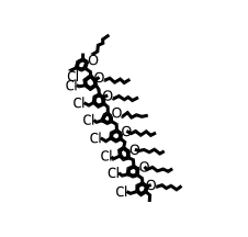 CCCCCCOc1c(C)cc(CCl)cc1Cc1cc(CCl)cc(Cc2cc(CCl)cc(Cc3cc(CCl)cc(Cc4cc(CCl)cc(Cc5cc(CCl)cc(Cc6cc(CCl)cc(Cc7cc(CCl)cc(CC)c7OCCCCCC)c6OCCCCCC)c5OCCCCCC)c4OCCCCCC)c3OCCCCCC)c2OCCCCCC)c1OCCCCCC